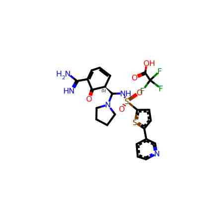 N=C(N)C1=CC=C[C@@H](C(NS(=O)(=O)c2ccc(-c3cccnc3)s2)N2CCCC2)C1=O.O=C(O)C(F)(F)F